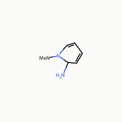 CNN1C=CC=CC1N